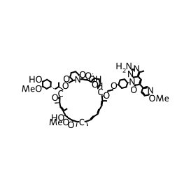 COc1ccc(-c2cc3c(C)nc(N)nc3n([C@H]3CC[C@H](OCCO[C@@H]4C[C@@H]5CC[C@@H](C)[C@@](O)(O5)C(=O)C(=O)N5CCCCC5C(=O)O[C@H](C(C)C[C@H]5CC[C@@H](O)[C@H](OC)C5)CC(=O)[C@H](C)/C=C(\C)[C@@H](O)[C@@H](OC)C(=O)[C@H](C)C[C@H](C)/C=C/C=C/C=C\4C)CC3)c2=O)cn1